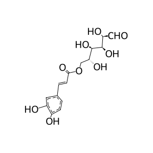 O=C[C@H](O)[C@@H](O)[C@H](O)[C@H](O)COC(=O)C=Cc1ccc(O)c(O)c1